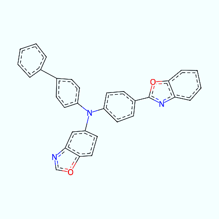 c1ccc(-c2ccc(N(c3ccc(-c4nc5ccccc5o4)cc3)c3ccc4ocnc4c3)cc2)cc1